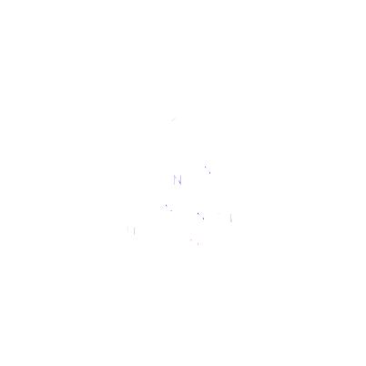 CCC1C(=O)N(C)c2cnc(-c3ccccc3)nc2N1C1CCCC1